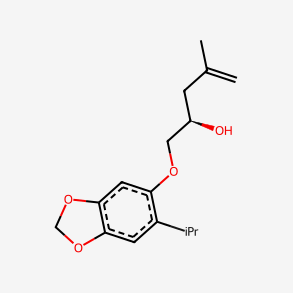 C=C(C)C[C@@H](O)COc1cc2c(cc1C(C)C)OCO2